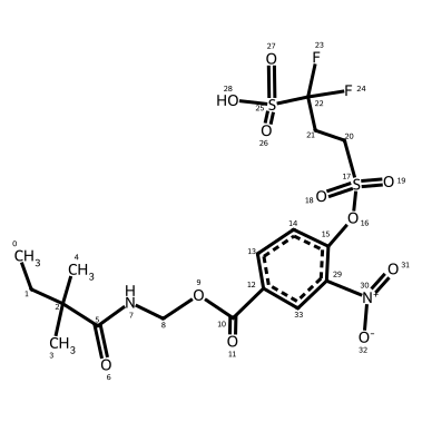 CCC(C)(C)C(=O)NCOC(=O)c1ccc(OS(=O)(=O)CCC(F)(F)S(=O)(=O)O)c([N+](=O)[O-])c1